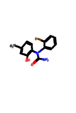 NC(=O)N(c1ccc([N+](=O)[O-])cc1O)c1ccccc1Br